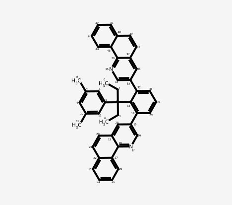 CCC(CC)(c1cc(C)cc(C)c1)c1c(-c2cnc3c(ccc4ccccc43)c2)cccc1-c1cnc2c(ccc3ccccc32)c1